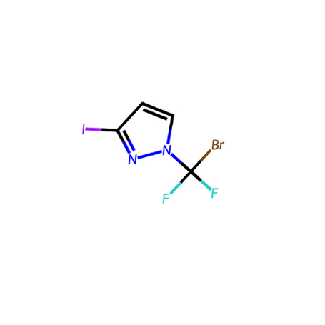 FC(F)(Br)n1ccc(I)n1